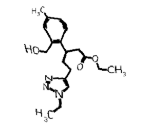 CCOC(=O)CC(CCc1cn(CC)nn1)c1ccc(C)cc1CO